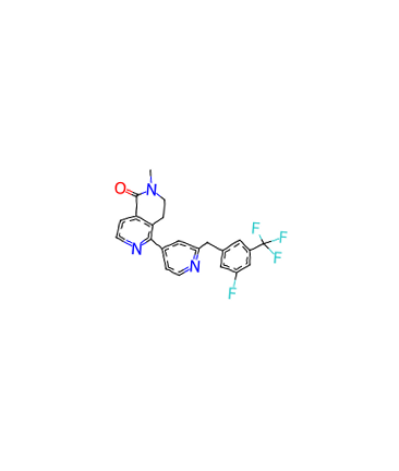 CN1CCc2c(ccnc2-c2ccnc(Cc3cc(F)cc(C(F)(F)F)c3)c2)C1=O